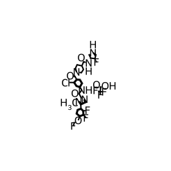 Cn1c(-c2ccc(OCF)c(F)c2F)cnc1C(=O)Nc1ccc(C(=O)N2CCC(C(=O)N[C@H]3CNC[C@H]3F)CC2)c(Cl)c1.O=C(O)C(F)(F)F